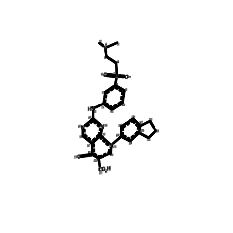 CN(C)CCS(=O)(=O)c1cccc(Nc2ncc3c(=O)c(C(=O)O)cn(-c4ccc5c(c4)CCC5)c3n2)c1